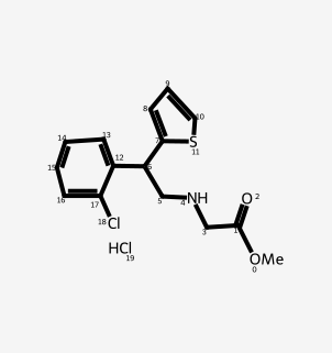 COC(=O)CNCC(c1cccs1)c1ccccc1Cl.Cl